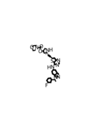 CC(c1cccc(F)c1)n1ncc2cc(Nc3ncnc4cc(C#C[C@@H]5C[C@@H](OC(=O)N6CCOCC6)CN5)sc34)ccc21